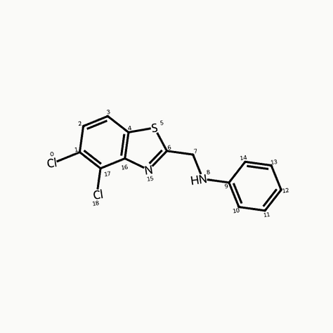 Clc1ccc2sc(CNc3ccccc3)nc2c1Cl